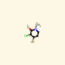 Cn1ccc(Br)c(Cl)c1=O